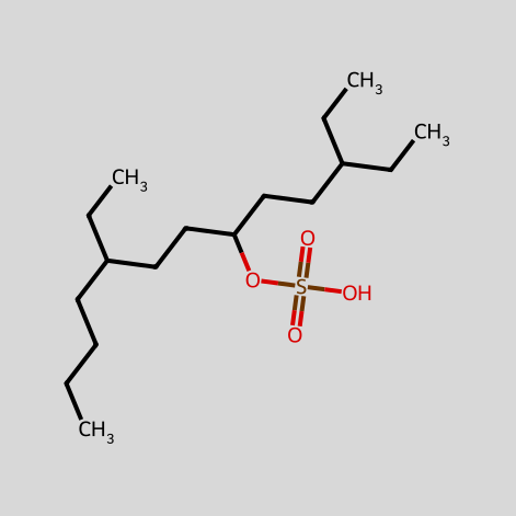 CCCCC(CC)CCC(CCC(CC)CC)OS(=O)(=O)O